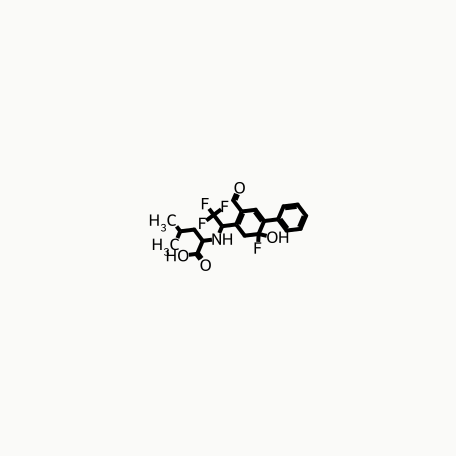 CC(C)CC(NC(C1=C(C=O)C=C(c2ccccc2)C(O)(F)C1)C(F)(F)F)C(=O)O